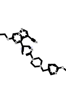 C=C(/N=C\C(=C/C)c1nc(OCC)cn2ncc(C#N)c12)N1CCN(Cc2ccc(OC)nc2)CC1